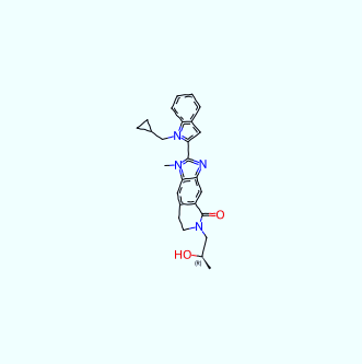 C[C@@H](O)CN1CCc2cc3c(cc2C1=O)nc(-c1cc2ccccc2n1CC1CC1)n3C